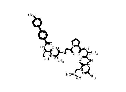 CCCCc1ccc(-c2ccc(C(=O)N[C@H](CO)C(=O)N[C@H](C)C(=O)NCC(=O)N3CCCC3C(=O)N[C@@H](C)C(=O)N[C@@H](CC(N)=O)C(=O)NCB(O)O)cc2)cc1